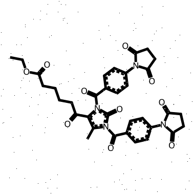 CCOC(=O)CCCCC(=O)c1c(C)n(C(=O)c2ccc(N3C(=O)CCC3=O)cc2)c(=O)n1C(=O)c1ccc(N2C(=O)CCC2=O)cc1